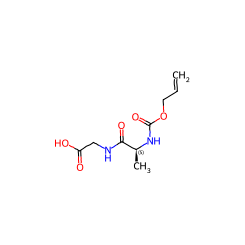 C=CCOC(=O)N[C@@H](C)C(=O)NCC(=O)O